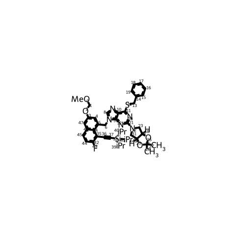 COCOc1cc(Cn2cnc3c(SCc4ccccc4)nc(N4C[C@@H]5OC(C)(C)O[C@@H]5C4)nc32)c2c(C#C[Si](C(C)C)(C(C)C)C(C)C)c(F)ccc2c1